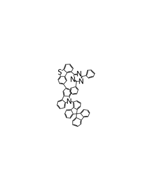 c1ccc(-c2nc(-c3ccccc3)nc(-c3cccc4sc5ccc(-c6ccc7c(c6)c6ccccc6n7-c6cccc7c6-c6ccccc6C76c7ccccc7-c7ccccc76)cc5c34)n2)cc1